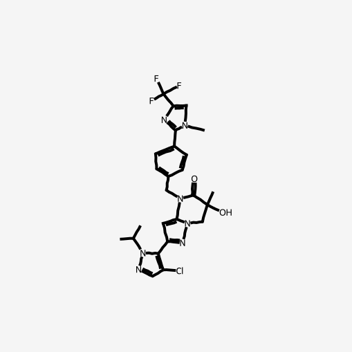 CC(C)n1ncc(Cl)c1-c1cc2n(n1)CC(C)(O)C(=O)N2Cc1ccc(-c2nc(C(F)(F)F)cn2C)cc1